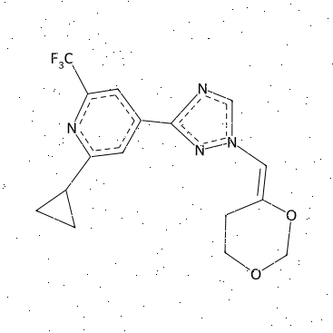 FC(F)(F)c1cc(-c2ncn(C=C3CCOCO3)n2)cc(C2CC2)n1